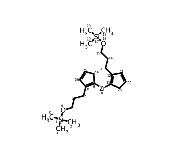 C[Si](C)(C)OCCCC1=[C]([Zr][C]2=C(CCCO[Si](C)(C)C)C=CC2)CC=C1